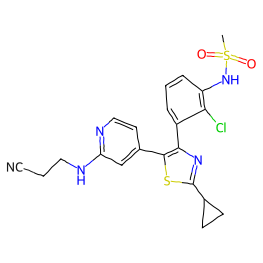 CS(=O)(=O)Nc1cccc(-c2nc(C3CC3)sc2-c2ccnc(NCCC#N)c2)c1Cl